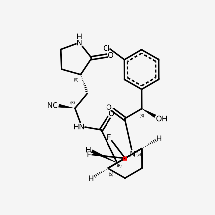 N#C[C@@H](C[C@@H]1CCNC1=O)NC(=O)[C@H]1[C@@H]2CC[C@@H](CC2(F)F)N1C(=O)[C@H](O)c1cccc(Cl)c1